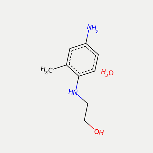 Cc1cc(N)ccc1NCCO.O